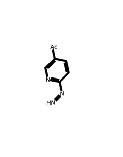 CC(=O)c1ccc(N=N)nc1